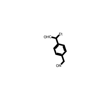 CCC(C=O)c1ccc(CN=O)cc1